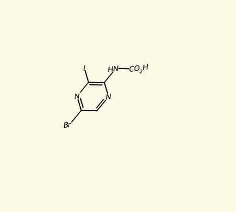 O=C(O)Nc1ncc(Br)nc1I